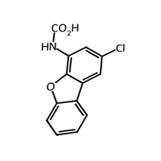 O=C(O)Nc1cc(Cl)cc2c1oc1ccccc12